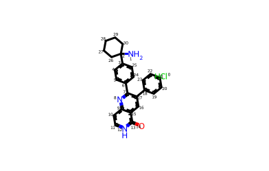 Cl.NC1(c2ccc(-c3nc4cc[nH]c(=O)c4cc3-c3ccccc3)cc2)CCCCC1